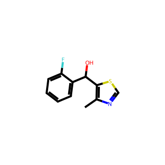 Cc1ncsc1C(O)c1ccccc1F